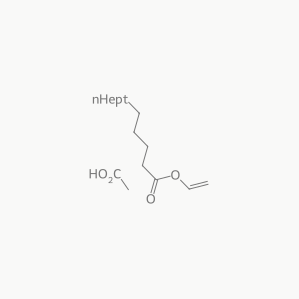 C=COC(=O)CCCCCCCCCCC.CC(=O)O